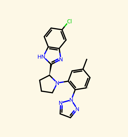 Cc1c[c]c(-n2nccn2)c(N2CCC[C@H]2c2nc3cc(Cl)ccc3[nH]2)c1